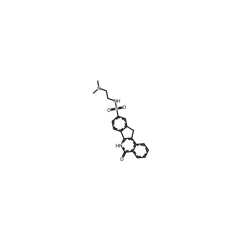 CN(C)CCNS(=O)(=O)c1ccc2c(c1)Cc1c-2[nH]c(=O)c2ccccc12